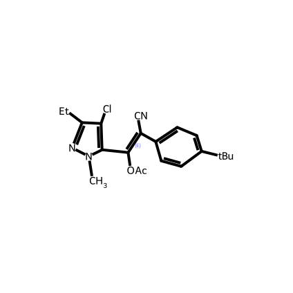 CCc1nn(C)c(/C(OC(C)=O)=C(\C#N)c2ccc(C(C)(C)C)cc2)c1Cl